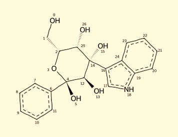 OC[C@H]1O[C@@](O)(c2ccccc2)[C@H](O)[C@](O)(c2c[nH]c3ccccc23)[C@H]1O